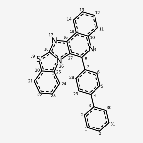 c1ccc(-c2ccc(-c3nc4ccccc4c4nc5sc6ccccc6n5c34)cc2)cc1